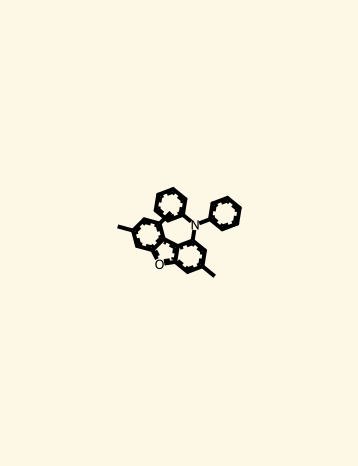 Cc1cc(C)c2c(c1)oc1cc(C)cc(N(c3ccccc3)c3ccccc3)c12